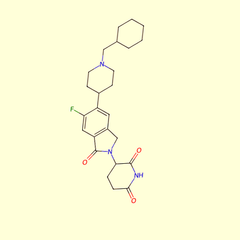 O=C1CCC(N2Cc3cc(C4CCN(CC5CCCCC5)CC4)c(F)cc3C2=O)C(=O)N1